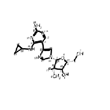 C[C@@]1(F)[C@H](O)[C@@H](CO)O[C@H]1n1cnc(-c2cnc(N)nc2NC2CC2)c1